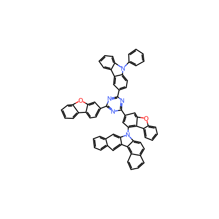 c1ccc(-n2c3ccccc3c3cc(-c4nc(-c5ccc6c(c5)oc5ccccc56)nc(-c5cc(-n6c7cc8ccccc8cc7c7c8ccccc8ccc76)c6c(c5)oc5ccccc56)n4)ccc32)cc1